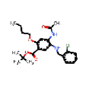 CCCCOc1cc(NC(C)=O)c(NCc2ccccc2Cl)cc1C(=O)OC(C)(C)C